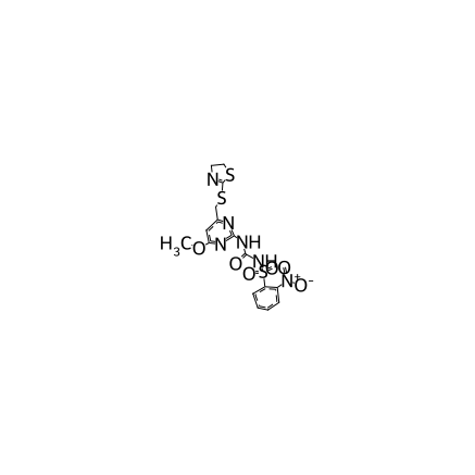 COc1cc(CSC2=NCCS2)nc(NC(=O)NS(=O)(=O)c2ccccc2[N+](=O)[O-])n1